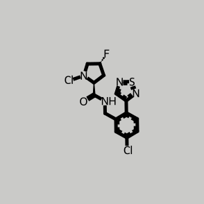 O=C(NCc1cc(Cl)ccc1-c1cnsn1)[C@@H]1C[C@@H](F)CN1Cl